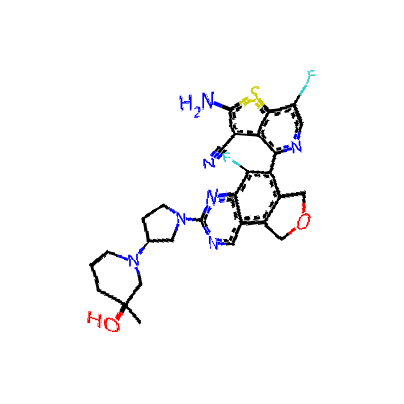 CC1(O)CCCN([C@H]2CCN(c3ncc4c5c(c(-c6ncc(F)c7sc(N)c(C#N)c67)c(F)c4n3)COC5)C2)C1